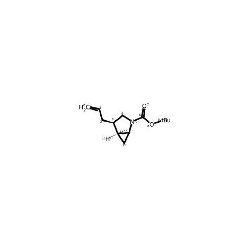 C=CC[C@H]1CN(C(=O)OC(C)(C)C)C2C[C@H]21